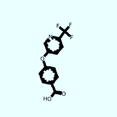 O=C(O)c1ccc(Oc2ccc(C(F)(F)F)nc2)cc1